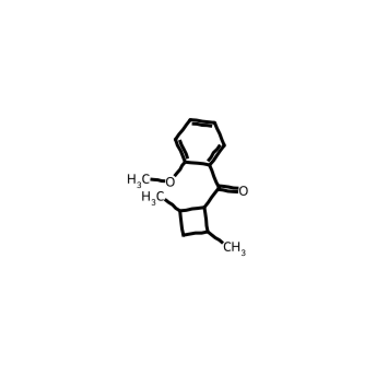 COc1ccccc1C(=O)C1C(C)CC1C